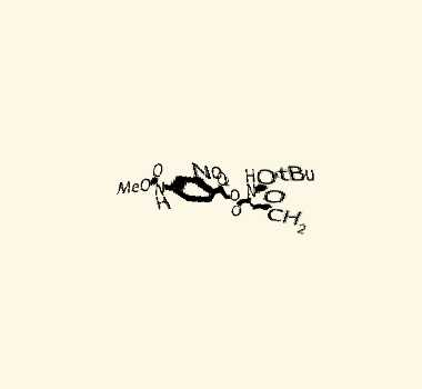 C=CC[C@H](NC(=O)OC(C)(C)C)C(=O)OCC(=O)c1ccc(NC(=O)OC)cc1[N+](=O)[O-]